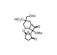 COC1(N2C(=O)CCC2=O)C(=O)N2CC(COC(C)=O)(C(=O)O)CS[C@@H]21